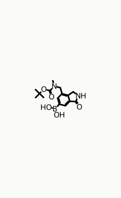 CN(Cc1cc(B(O)O)cc2c1CNC2=O)C(=O)OC(C)(C)C